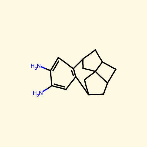 Nc1cc2c(cc1N)C1CC3CC4CC2CC43C1